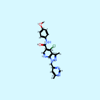 COc1ccc(NC(=O)c2cnc3c(c(C)nn3Cc3cc(C)ncn3)c2Cl)cc1